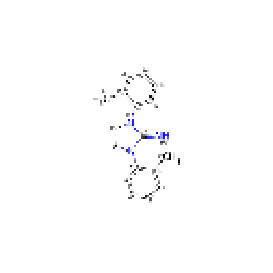 Cc1ccccc1N1CCN(c2ccccc2C)C1=N